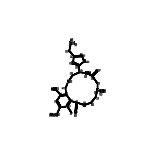 COc1cc(O)c2c(c1C)C(=O)OCCCCC(=S)N[C@H](c1nc(CN)no1)CSC2.Cl